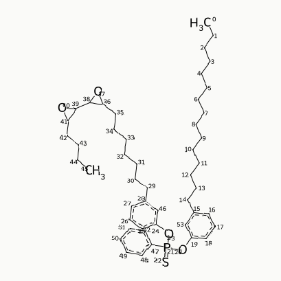 CCCCCCCCCCCCCCCc1cccc(OP(=S)(Oc2cccc(CCCCCCCC3OC3C3OC3CCCC)c2)c2ccccc2)c1